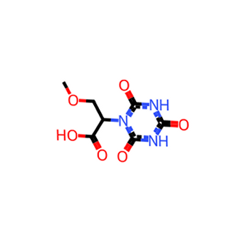 COCC(C(=O)O)n1c(=O)[nH]c(=O)[nH]c1=O